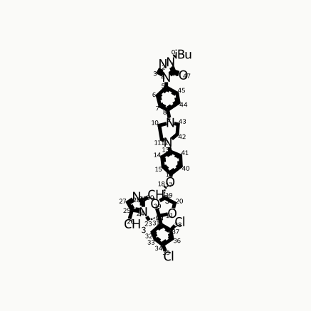 CCC(C)n1ncn(-c2ccc(N3CCN(c4ccc(OC[C@@H]5CO[C@@](Cn6c(C)cnc6C)(c6ccc(Cl)cc6Cl)O5)cc4)CC3)cc2)c1=O